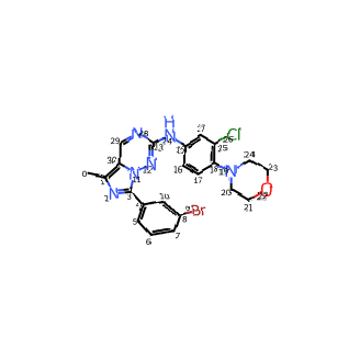 Cc1nc(-c2cccc(Br)c2)n2nc(Nc3ccc(N4CCOCC4)c(Cl)c3)ncc12